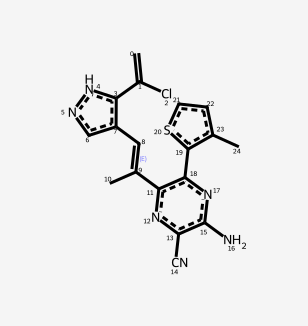 C=C(Cl)c1[nH]ncc1/C=C(\C)c1nc(C#N)c(N)nc1-c1sccc1C